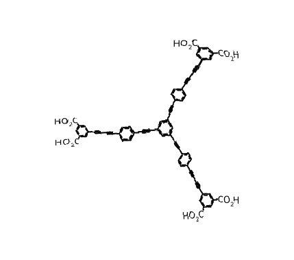 O=C(O)c1cc(C#CC#Cc2ccc(C#Cc3cc(C#Cc4ccc(C#CC#Cc5cc(C(=O)O)cc(C(=O)O)c5)cc4)cc(C#Cc4ccc(C#CC#Cc5cc(C(=O)O)cc(C(=O)O)c5)cc4)c3)cc2)cc(C(=O)O)c1